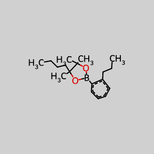 CCCCC1(C)OB(c2ccccc2CCC)OC1(C)C